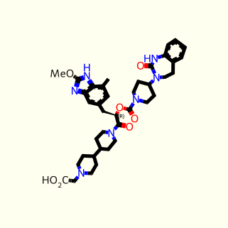 COc1nc2cc(C[C@@H](OC(=O)N3CCC(N4CCc5ccccc5NC4=O)CC3)C(=O)N3CCC(C4CCN(CC(=O)O)CC4)CC3)cc(C)c2[nH]1